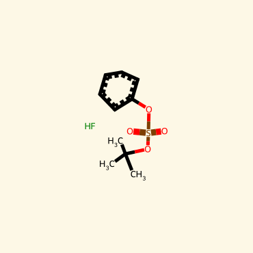 CC(C)(C)OS(=O)(=O)Oc1ccccc1.F